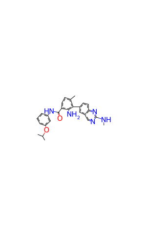 CNc1ncc2cc(-c3c(C)ccc(C(=O)Nc4cccc(OC(C)C)c4)c3N)ccc2n1